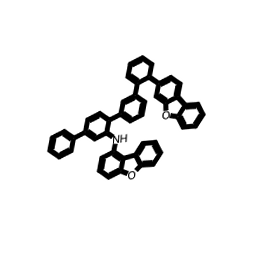 C1=CCC(c2ccc3c(c2)oc2ccccc23)C(c2cccc(C3C=CC(c4ccccc4)=CC3Nc3cccc4oc5ccccc5c34)c2)=C1